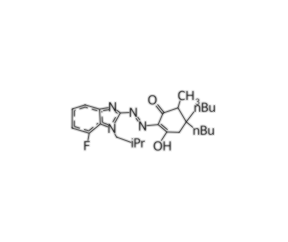 CCCCC1(CCCC)CC(O)=C(N=Nc2nc3cccc(F)c3n2CC(C)C)C(=O)C1C